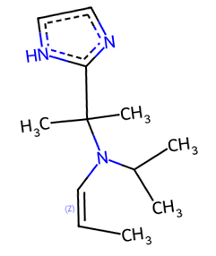 C/C=C\N(C(C)C)C(C)(C)c1ncc[nH]1